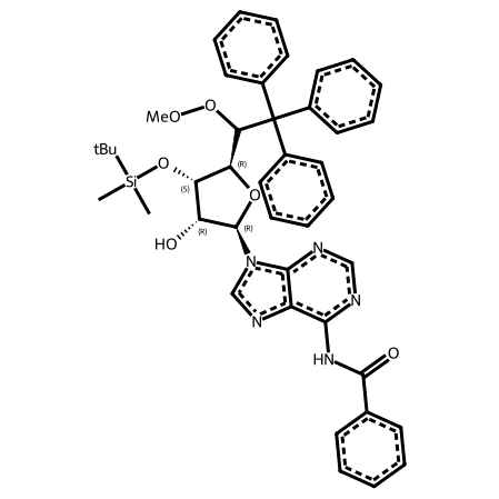 COOC([C@H]1O[C@@H](n2cnc3c(NC(=O)c4ccccc4)ncnc32)[C@H](O)[C@@H]1O[Si](C)(C)C(C)(C)C)C(c1ccccc1)(c1ccccc1)c1ccccc1